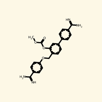 COC(=O)Oc1cc(-c2ccc(C(=N)N)cc2)ccc1COc1ccc(C(=N)N)cc1